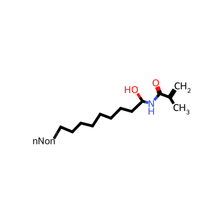 C=C(C)C(=O)NC(O)CCCCCCCCCCCCCCCCC